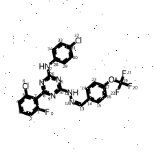 Fc1cccc(Cl)c1-c1nc(N/N=C\c2ccc(OC(F)(F)F)cc2)nc(Nc2ccc(Cl)cc2)n1